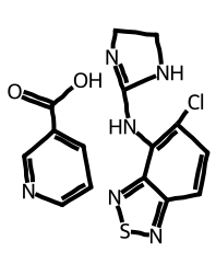 Clc1ccc2nsnc2c1NC1=NCCN1.O=C(O)c1cccnc1